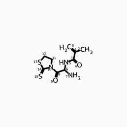 C=C(C)C(=O)NC(N)C(=O)N1CCSC1=S